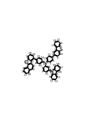 c1cc(N(c2ccc(-c3ccc4sc5ccccc5c4c3)cc2)c2ccc(-c3cccc4oc5c6ccccc6ccc5c34)cc2)cc(-n2c3ccccc3c3ccccc32)c1